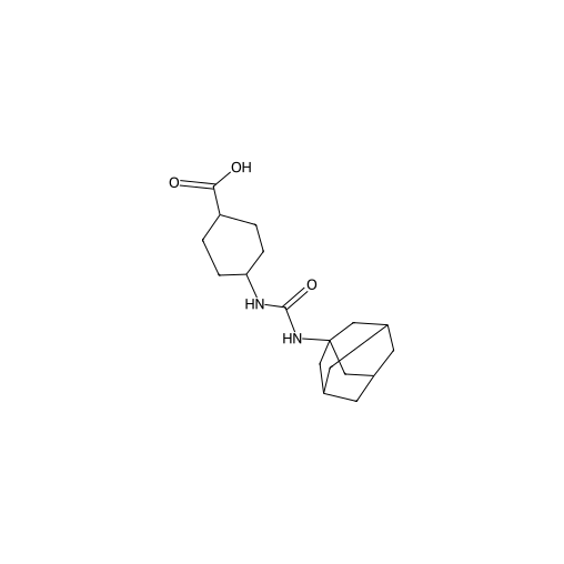 O=C(NC1CCC(C(=O)O)CC1)NC12CC3CC(CC(C3)C1)C2